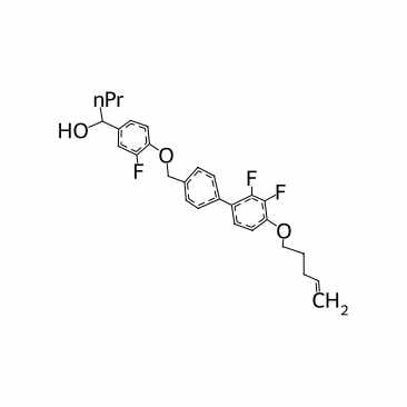 C=CCCCOc1ccc(-c2ccc(COc3ccc(C(O)CCC)cc3F)cc2)c(F)c1F